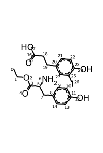 CCOC(=O)[C@@H](N)Cc1ccc(O)cc1.O=C(O)CCc1ccc(O)c(I)c1